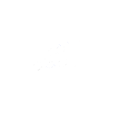 Cc1cccc(-c2cc(NCCO)nc3ccc(C(O)(c4ccc(Cl)cc4)c4cncn4C)cc23)c1